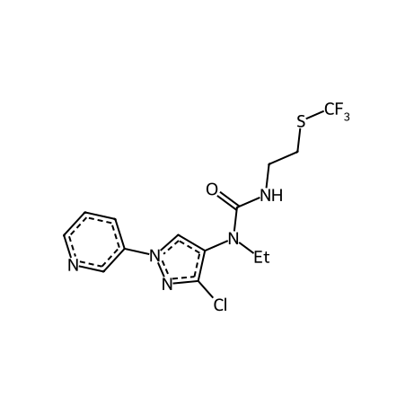 CCN(C(=O)NCCSC(F)(F)F)c1cn(-c2cccnc2)nc1Cl